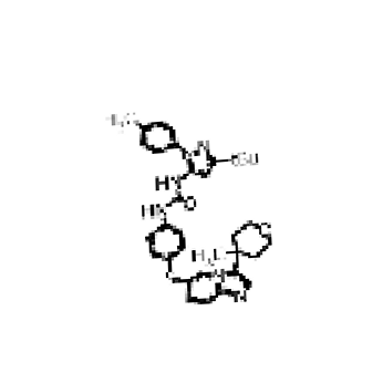 Cc1ccc(-n2nc(C(C)(C)C)cc2NC(=O)Nc2ccc(Sc3ccc4ncc(C5(C)CCOCC5)n4c3)cc2)cc1